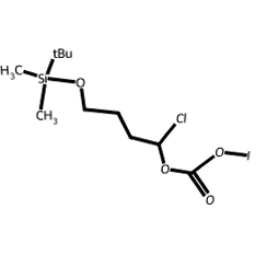 CC(C)(C)[Si](C)(C)OCCCC(Cl)OC(=O)OI